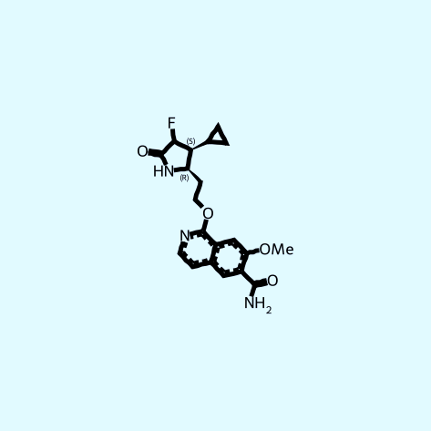 COc1cc2c(OCC[C@H]3NC(=O)C(F)[C@H]3C3CC3)nccc2cc1C(N)=O